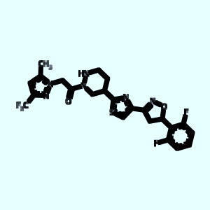 Cc1cc(C(F)(F)F)nn1CC(=O)N1CC(c2nc(C3=NOC(c4c(F)cccc4F)C3)cs2)CCN1